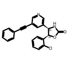 O=C1N[C@H](c2cncc(C#Cc3ccccc3)c2)[C@H](c2ccccc2Cl)O1